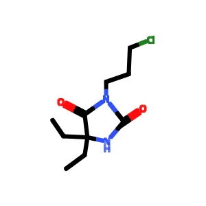 CCC1(CC)NC(=O)N(CCCCl)C1=O